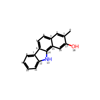 Cc1cc2ccc3c4ccccc4[nH]c3c2cc1O